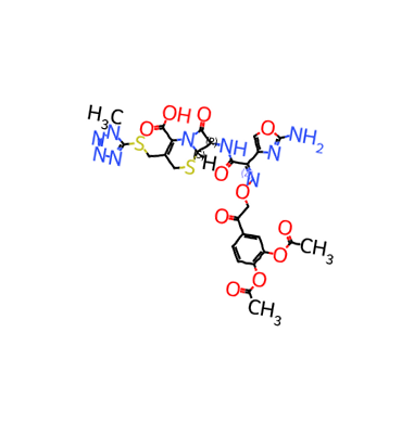 CC(=O)Oc1ccc(C(=O)CO/N=C(\C(=O)N[C@@H]2C(=O)N3C(C(=O)O)=C(CSc4nnnn4C)CS[C@@H]23)c2coc(N)n2)cc1OC(C)=O